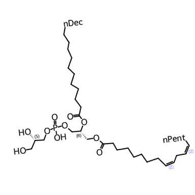 CCCCC/C=C\C/C=C\CCCCCCCC(=O)OC[C@H](COP(=O)(O)OC[C@@H](O)CO)OC(=O)CCCCCCCCCCCCCCCCCCCC